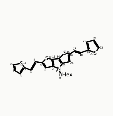 CCCCCCn1c2cc(/C=C/c3cccs3)sc2c2sc(/C=C/c3cccs3)cc21